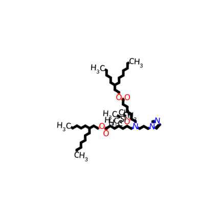 CCCCCCCC(CCCCC)CCOC(=O)CCCCCCN(CCCn1ccnc1)CC(CCCCC(=O)OCCC(CCCCC)CCCCCCC)O[Si](C)(C)C(C)(C)C